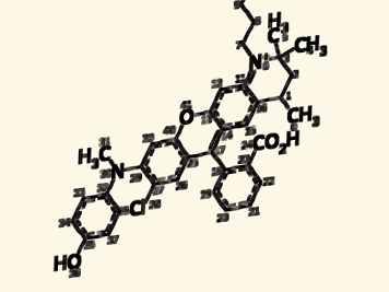 CC1CC(C)(C)[N+](CCCC(=O)O)=c2cc3c(cc21)=C(c1ccccc1C(=O)O)c1cc(Cl)c(N(C)c2ccc(O)cc2)cc1O3